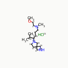 COCCN(C)CCCC(C(C)C)N1CCC2(CNC2)C1.Cl